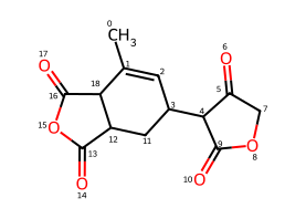 CC1=CC(C2C(=O)COC2=O)CC2C(=O)OC(=O)C12